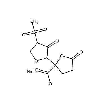 CS(=O)(=O)C1CON(C2(C(=O)[O-])CCC(=O)O2)C1=O.[Na+]